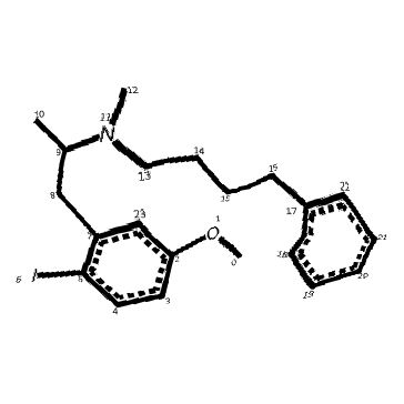 COc1ccc(I)c(CC(C)N(C)CCCCc2ccccc2)c1